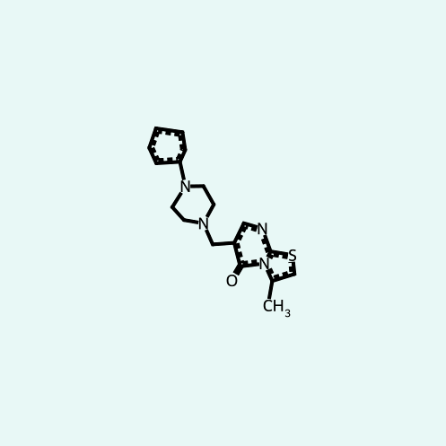 Cc1csc2ncc(CN3CCN(c4ccccc4)CC3)c(=O)n12